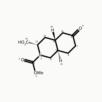 COC(=O)N1C[C@@H]2CCC(=O)C[C@H]2C[C@H]1C(=O)O